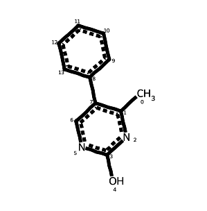 Cc1nc(O)ncc1-c1ccccc1